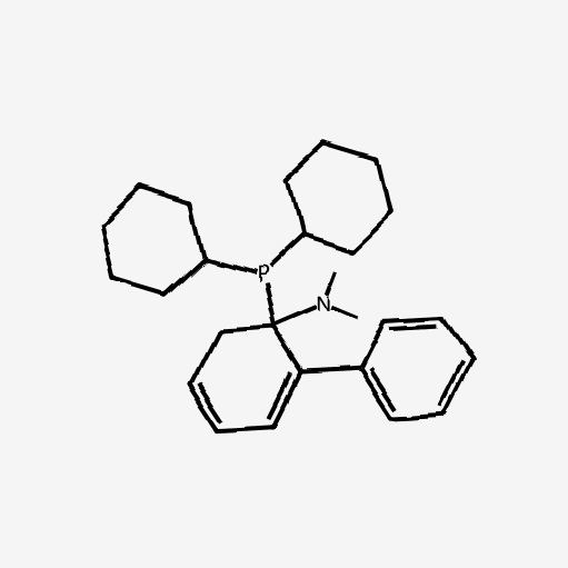 CN(C)C1(P(C2CCCCC2)C2CCCCC2)CC=CC=C1c1ccccc1